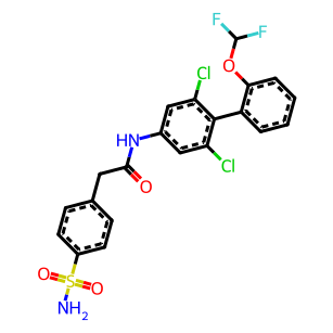 NS(=O)(=O)c1ccc(CC(=O)Nc2cc(Cl)c(-c3ccccc3OC(F)F)c(Cl)c2)cc1